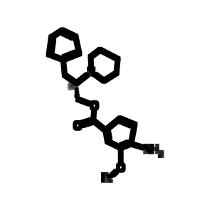 CCOc1cc(C(=O)OC[C@H](Cc2ccccc2)N2CCCCC2)ccc1N